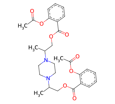 CC(=O)Oc1ccccc1C(=O)OCC(C)N1CCN(C(C)COC(=O)c2ccccc2OC(C)=O)CC1